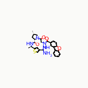 C[C@H]1C[C@@H](C(=O)N[C@H](C)c2cc(C(=N)N)cs2)N(C(=O)CNC(=O)c2ccc3oc4ccccc4c3c2)C1